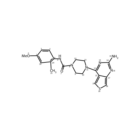 COc1ccc(NC(=O)N2CCN(c3nc(N)nc4cscc34)CC2)c(C)c1